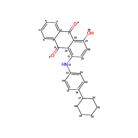 O=C1c2ccccc2C(=O)c2c(Nc3ccc(C4CCCCC4)cc3)ccc(O)c21